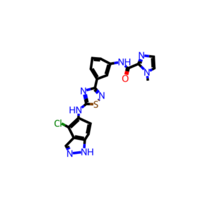 Cn1ccnc1C(=O)Nc1cccc(-c2nsc(Nc3ccc4[nH]ncc4c3Cl)n2)c1